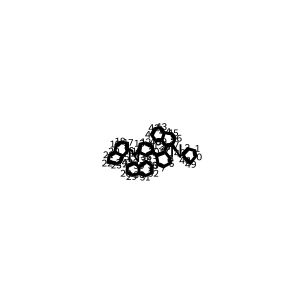 c1ccc(-n2c3cccc(-c4cccc(N(c5cccc6ccccc56)c5cccc6ccccc56)c4)c3c3c4ccccc4ccc32)cc1